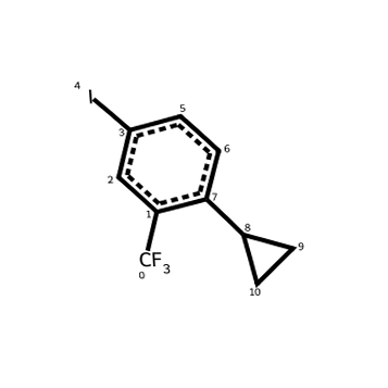 FC(F)(F)c1cc(I)ccc1C1CC1